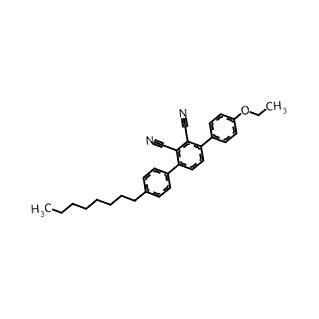 CCCCCCCCc1ccc(-c2ccc(-c3ccc(OCC)cc3)c(C#N)c2C#N)cc1